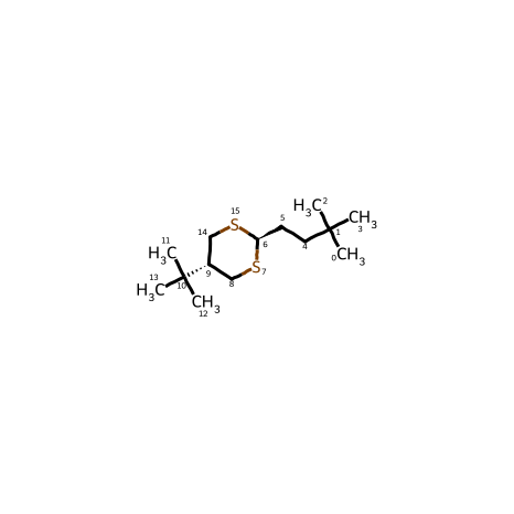 CC(C)(C)CC[C@H]1SC[C@H](C(C)(C)C)CS1